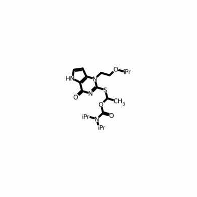 CC(C)OCCn1c(SC(C)OC(=O)N(C(C)C)C(C)C)nc(=O)c2[nH]ccc21